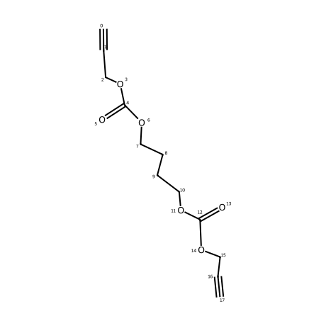 C#CCOC(=O)OCCCCOC(=O)OCC#C